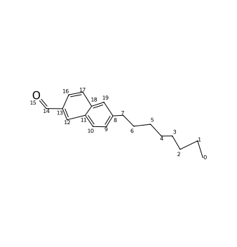 CCCCCCCCc1ccc2cc(C=O)ccc2c1